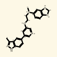 Cc1n[nH]c2ccc(-c3cncc(OCCN(C)c4ccc5c(c4)OCO5)c3)cc12